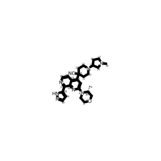 C[C@@H]1COCCN1c1cc(C2(C#N)CCN(C3CCN(C)C3)CC2)c2ccnc(-c3ccn[nH]3)c2n1